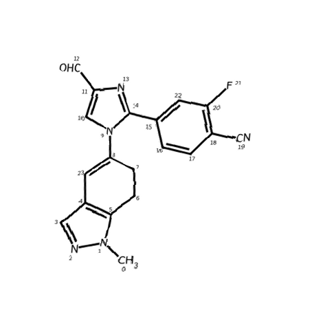 Cn1ncc2c1CCC(n1cc(C=O)nc1-c1ccc(C#N)c(F)c1)=C2